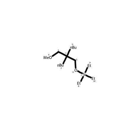 CCCCC(CCCC)(COC)CO[Si](CC)(CC)CC